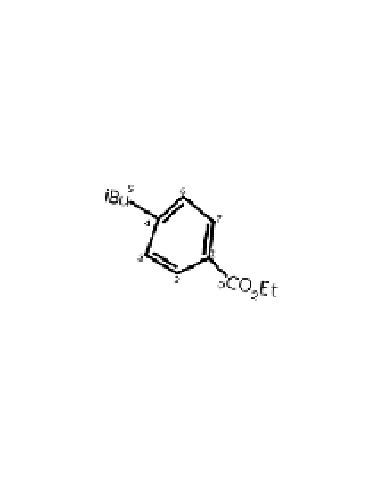 CCOC(=O)c1ccc(C(C)CC)cc1